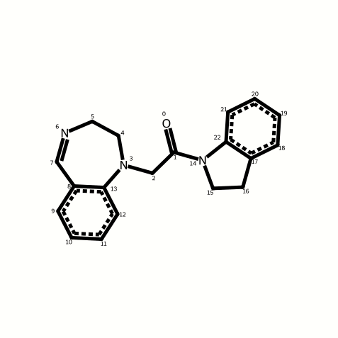 O=C(CN1CCN=Cc2ccccc21)N1CCc2ccccc21